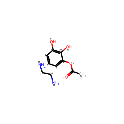 CC(=O)Oc1cccc(O)c1O.NCCN